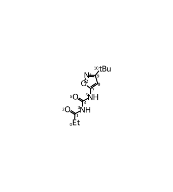 CCC(=O)NC(=O)Nc1cc(C(C)(C)C)no1